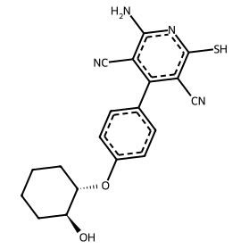 N#Cc1c(N)nc(S)c(C#N)c1-c1ccc(O[C@H]2CCCC[C@@H]2O)cc1